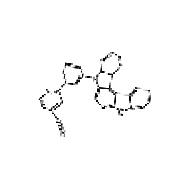 N#Cc1ccnc(C2C=C(N3c4ccc5oc6ccccc6c5c4C4C=CC=CC43)C=CC2)c1